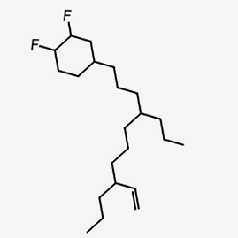 C=CC(CCC)CCCC(CCC)CCCC1CCC(F)C(F)C1